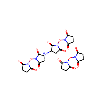 NC1CC(=O)N(ON2C(=O)CCC2=O)C1=O.O=C1CCC(=O)N1ON1C(=O)CCC1=O.O=C1CCC(=O)N1ON1C(=O)CCC1=O